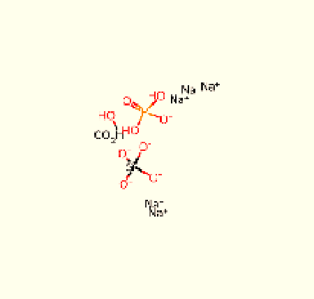 O=C(O)O.O=P([O-])(O)O.[Na+].[Na+].[Na+].[Na+].[Na+].[O-][Si]([O-])([O-])[O-]